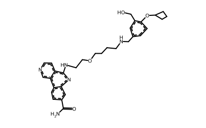 NC(=O)c1ccc2c(c1)nc(NCCOCCCCNCc1ccc(OC3CCC3)c(CO)c1)c1ccncc12